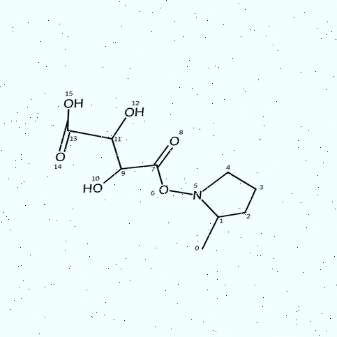 CC1CCCN1OC(=O)C(O)C(O)C(=O)O